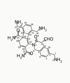 NCc1ccc(CN(C(=O)CC=O)C2=C3c4c(CN)ccc(CN)c4C3(C(N)=O)CC=C2C(N)=O)cc1